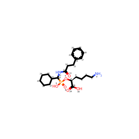 NCCCC[C@H](OP(=O)(O)C(NC(=O)CCc1ccccc1)C1CCCCC1)C(=O)O